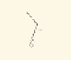 CCCCCCCC/C=C\CCCCCCCC(=O)ON1C=NCC1.N